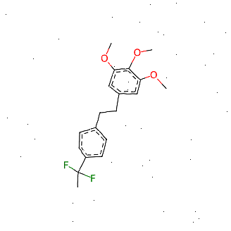 COc1cc(CCc2ccc(C(C)(F)F)cc2)cc(OC)c1OC